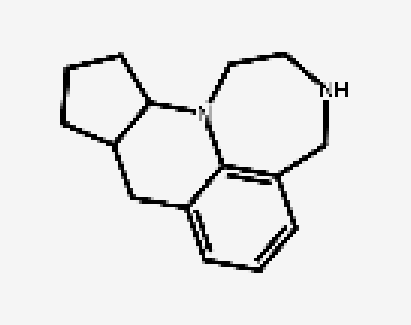 c1cc2c3c(c1)CC1CCCC1N3CCNC2